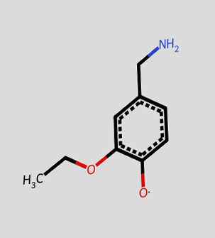 CCOc1cc(CN)ccc1[O]